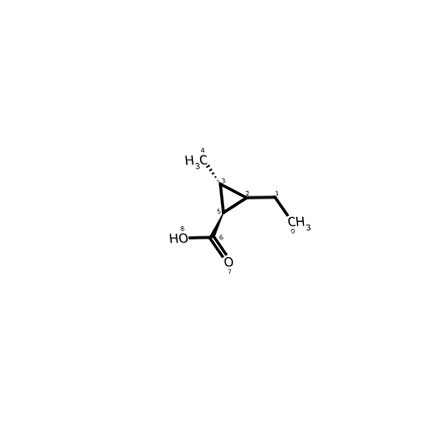 CCC1[C@@H](C)[C@@H]1C(=O)O